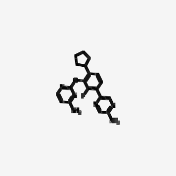 Nc1cnc(-c2ccc(C3CCCC3)c(Oc3nccc(N)n3)c2F)cn1